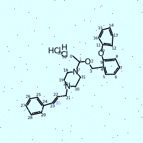 CC(OCc1ccccc1Oc1ccccc1)N1CCN(C/C=C/c2ccccc2)CC1.Cl.Cl